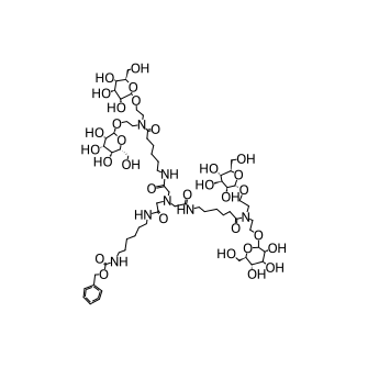 O=C(CN(CC(=O)NCCCCCC(=O)N(CCOC1O[C@H](CO)[C@@H](O)[C@H](O)[C@@H]1O)CCO[C@H]1O[C@H](CO)[C@@H](O)[C@H](O)[C@@H]1O)CC(=O)NCCCCCC(=O)N(CCOC1O[C@H](CO)[C@@H](O)[C@H](O)[C@@H]1O)CCO[C@H]1O[C@H](CO)[C@@H](O)[C@H](O)[C@@H]1O)NCCCCCCNC(=O)OCc1ccccc1